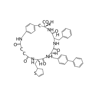 O=C1CCC(=O)N[C@@H](CC2CC=CS2)C(=O)N[C@@H](Cc2ccc(-c3ccccc3)cc2)C(=O)N[C@H](Cc2ccccc2)C(=O)N[C@@H](C(=O)O)Cc2ccc(cc2)N1